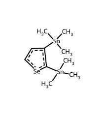 [CH3][Sn]([CH3])([CH3])[c]1cc[se][c]1[Sn]([CH3])([CH3])[CH3]